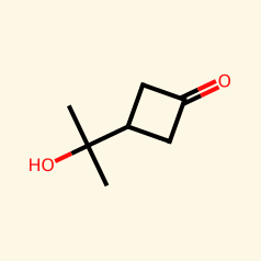 CC(C)(O)C1CC(=O)C1